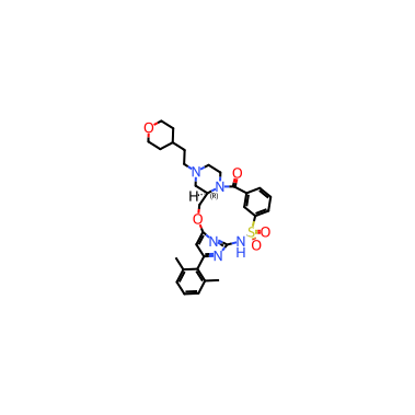 Cc1cccc(C)c1-c1cc2nc(n1)NS(=O)(=O)c1cccc(c1)C(=O)N1CCN(CCC3CCOCC3)C[C@@H]1CO2